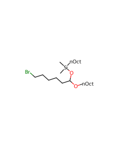 CCCCCCCCOC(CCCCCBr)O[Si](C)(C)CCCCCCCC